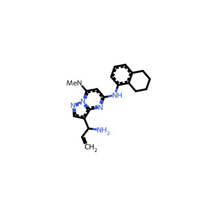 C=CC(N)c1cnn2c(NC)cc(Nc3cccc4c3CCCC4)nc12